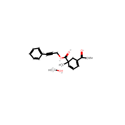 COC(=O)C1=CC=CC(C)(C(=O)OCC#Cc2ccccc2)C1.O=C(O)O